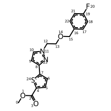 COC(=O)c1ccc(-c2ccn(CCOCc3ccc(F)cc3)n2)s1